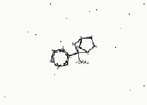 COC1(c2ccccc2)CC2CCC1C2